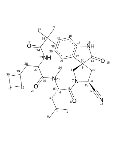 CC(C)C[C@@H](C(=O)N1C[C@]2(C[C@H]1C#N)C(=O)Nc1ccccc12)N(C)C(=O)C(CC1CCC1)NC(=O)C(C)(C)C